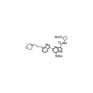 CNc1cc(-c2cnc3n(CCCN4CCOCC4)cccc2-3)nc2c(C(=O)NC3CCC3OC)cnn12